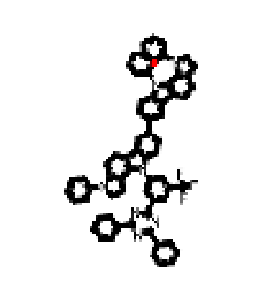 FC(F)(F)c1cc(-c2nc(-c3ccccc3)nc(-c3ccccc3)n2)cc(-n2c3ccc(-c4ccc5c(c4)c4ccc6ccn(-c7ccccc7)c6c4n5-c4ccccc4)cc3c3ccc4c(ccn4-c4ccccc4)c32)c1